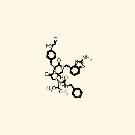 CC(C)N(C(=O)NCc1ccccc1)N1CC(=O)N2[C@@H](Cc3ccc(NC=O)cc3)C(=O)N(Cc3cccc4sc(N)nc34)C[C@@H]21